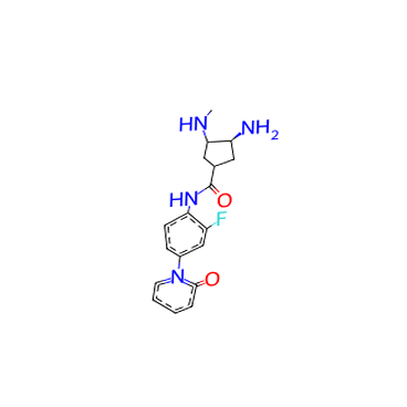 CNC1CC(C(=O)Nc2ccc(-n3ccccc3=O)cc2F)C[C@@H]1N